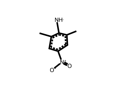 Cc1cc([N+](=O)[O-])cc(C)c1[NH]